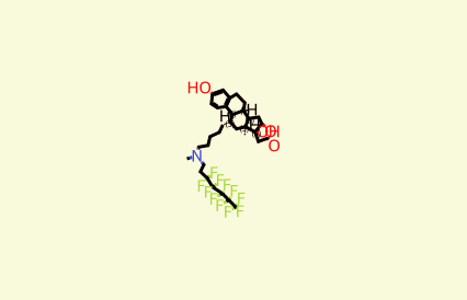 CN(CCCCC[C@H]1C[C@@]2(C)[C@@H](CC3OC(=O)C[C@@]32O)[C@@H]2CCc3cc(O)ccc3[C@@H]12)CCC(F)(F)C(F)(F)C(F)(F)C(F)(F)C(F)(F)F